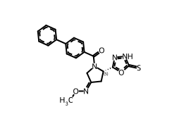 CON=C1C[C@@H](c2n[nH]c(=S)o2)N(C(=O)c2ccc(-c3ccccc3)cc2)C1